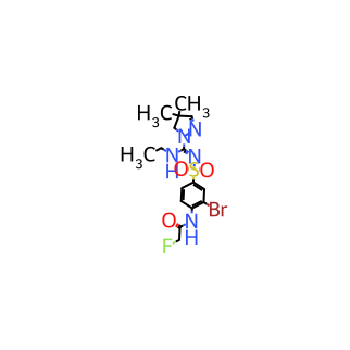 CCN/C(=N\S(=O)(=O)c1ccc(NC(=O)CF)c(Br)c1)N1CC(C)(C)C=N1